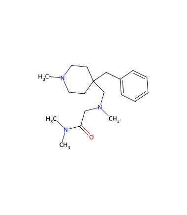 CN1CCC(Cc2ccccc2)(CN(C)CC(=O)N(C)C)CC1